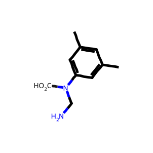 Cc1cc(C)cc(N(CN)C(=O)O)c1